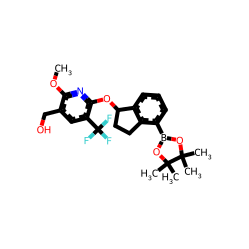 COc1nc(OC2CCc3c(B4OC(C)(C)C(C)(C)O4)cccc32)c(C(F)(F)F)cc1CO